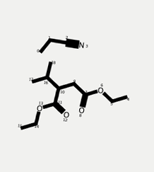 CCC#N.CCOC(=O)CC(C(=O)OCC)C(C)C